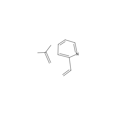 C=C(C)C.C=Cc1ccccn1